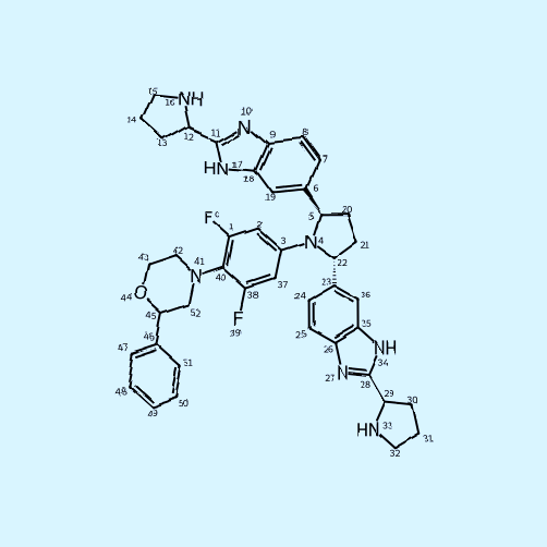 Fc1cc(N2[C@@H](c3ccc4nc(C5CCCN5)[nH]c4c3)CC[C@@H]2c2ccc3nc(C4CCCN4)[nH]c3c2)cc(F)c1N1CCOC(c2ccccc2)C1